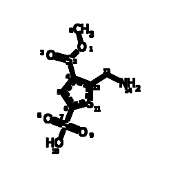 COS(=O)c1cc(S(=O)(=O)O)sc1CN